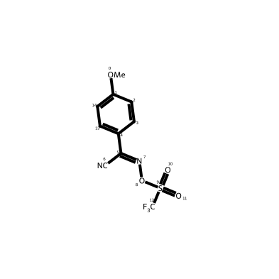 COc1ccc(C(C#N)=NOS(=O)(=O)C(F)(F)F)cc1